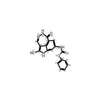 N#Cc1[nH]c2cc(NC(=O)Oc3ccccc3)cc3c2c1C=NNC3=O